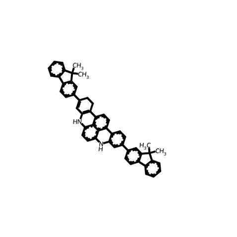 CC1(C)c2ccccc2-c2ccc(C3=CC4=C(CC3)c3ccc5c6c(ccc(c36)N4)Nc3cc(-c4ccc6c(c4)C(C)(C)c4ccccc4-6)ccc3-5)cc21